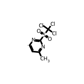 Cc1c[c]nc(S(=O)(=O)C(Cl)(Cl)Cl)n1